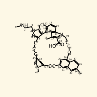 CNCCn1nc2c(c1C)-c1c(Cl)ccc3c1c(C)c(C(=O)O)n3CCCOc1cc(cc3cc(F)ccc13)CCc1cc(nn1C)CSC2